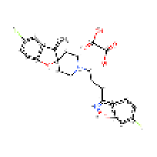 C=C1c2cc(F)ccc2OC12CCN(CCCc1noc3cc(F)ccc13)CC2.O=C(O)C(=O)O